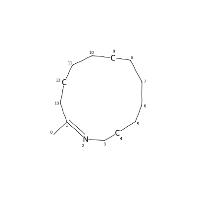 C/C1=N/CCCCCCCCCCC1